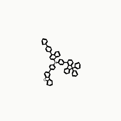 c1ccc(-c2ccc(-c3ccc(N(c4ccc(-c5ccc6oc7ccccc7c6c5)cc4)c4ccc(-c5cccc6c5-c5ccccc5C6(c5ccccc5)c5ccccc5)cc4)c4ccccc34)cc2)cc1